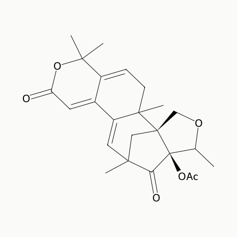 CC(=O)O[C@@]12C(=O)C3(C)C=C4C5=CC(=O)OC(C)(C)C5=CCC4(C)[C@@]1(COC2C)C3